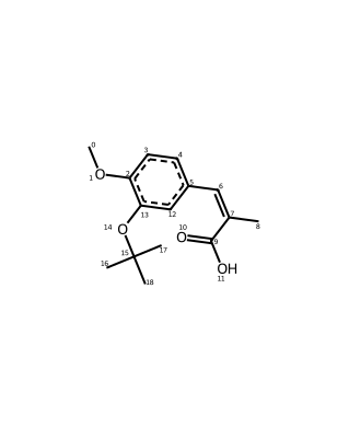 COc1ccc(C=C(C)C(=O)O)cc1OC(C)(C)C